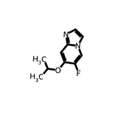 CC(C)Oc1cc2nccn2cc1F